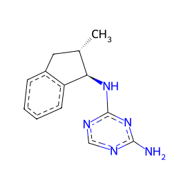 C[C@H]1Cc2ccccc2[C@@H]1Nc1ncnc(N)n1